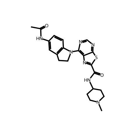 CC(=O)Nc1ccc2c(c1)CCN2c1ncnc2sc(C(=O)NC3CCN(C)CC3)nc12